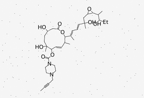 CC#CCN1CCN(C(=O)OC2/C=C/C(C)C(/C(C)=C/C=C/C(C)(O)CC3OC3C(C)C(O)CC)OC(=O)CC(O)CCC2(C)O)CC1